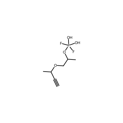 C#CC(C)OCC(C)OP(O)(O)(F)F